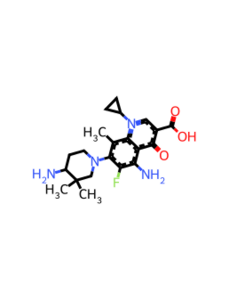 Cc1c(N2CCC(N)C(C)(C)C2)c(F)c(N)c2c(=O)c(C(=O)O)cn(C3CC3)c12